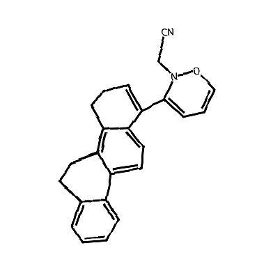 N#CCN1OC=CC=C1C1=CCCc2c1ccc1c2CCc2ccccc2-1